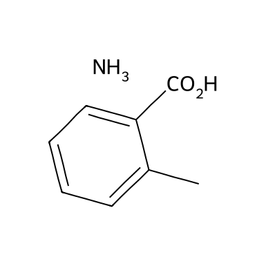 Cc1ccccc1C(=O)O.N